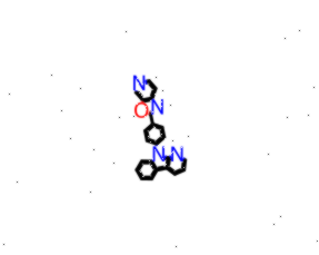 c1ccc2c(c1)c1cccnc1n2-c1ccc(-c2nc3ccncc3o2)cc1